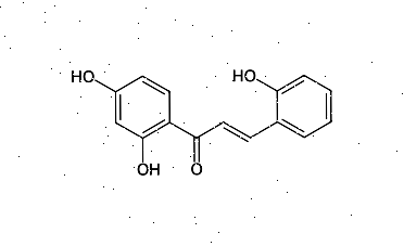 O=C(C=Cc1ccccc1O)c1ccc(O)cc1O